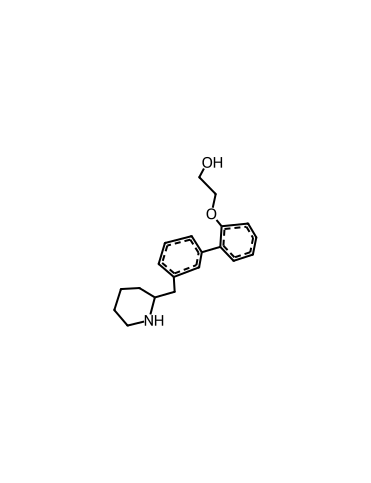 OCCOc1ccccc1-c1cccc(CC2CCCCN2)c1